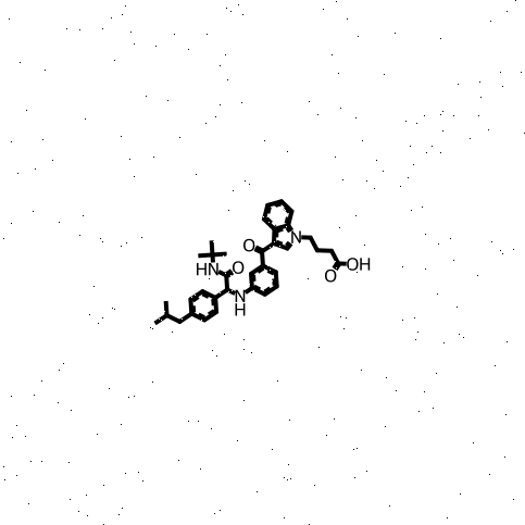 CC(C)Cc1ccc(C(Nc2cccc(C(=O)c3cn(CCCC(=O)O)c4ccccc34)c2)C(=O)NC(C)(C)C)cc1